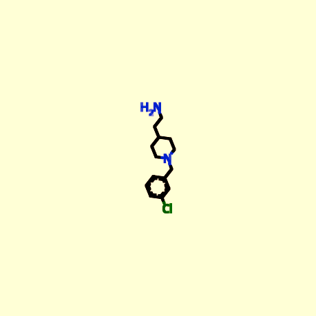 NCCC1CCN(Cc2cccc(Cl)c2)CC1